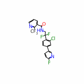 O=C(NCC(F)(F)c1ccc(-c2ccc(F)nc2)cc1Cl)c1cccnc1C(F)(F)F